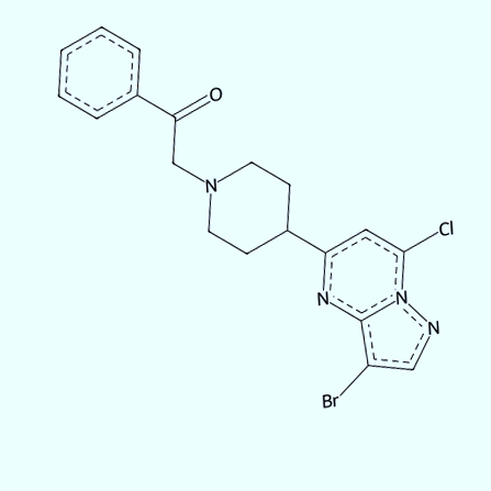 O=C(CN1CCC(c2cc(Cl)n3ncc(Br)c3n2)CC1)c1ccccc1